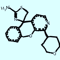 NC1=NC2(CS1)c1ccccc1Oc1c2ccnc1C1CCOCC1